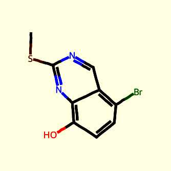 CSc1ncc2c(Br)ccc(O)c2n1